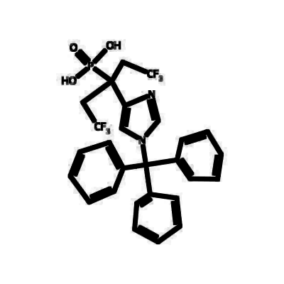 O=P(O)(O)C(CC(F)(F)F)(CC(F)(F)F)c1cn(C(c2ccccc2)(c2ccccc2)c2ccccc2)cn1